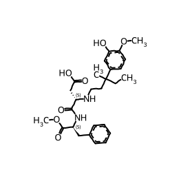 CCC(C)(CCN[C@@H](CC(=O)O)C(=O)N[C@@H](Cc1ccccc1)C(=O)OC)c1ccc(OC)c(O)c1